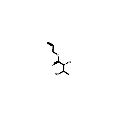 C=CCOC(=O)[C@@H](N)C(C)O